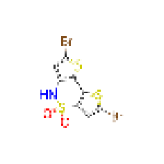 O=S1(=O)Nc2cc(Br)sc2-c2sc(Br)cc21